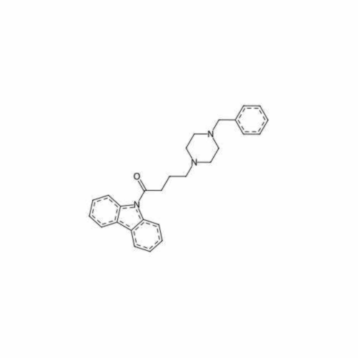 O=C(CCCN1CCN(Cc2ccccc2)CC1)n1c2ccccc2c2ccccc21